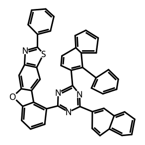 c1ccc(-c2nc3cc4oc5cccc(-c6nc(-c7ccc8ccccc8c7)nc(-c7ccc8ccccc8c7-c7ccccc7)n6)c5c4cc3s2)cc1